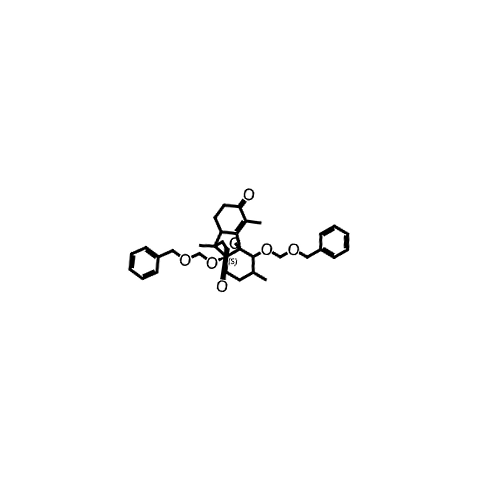 CC1=C2C(CCC1=O)C1(C)CC(=O)OC23C(OCOCc2ccccc2)C(C)CC[C@]13OCOCc1ccccc1